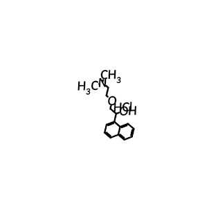 CN(C)CCOCC(O)c1cccc2ccccc12.Cl